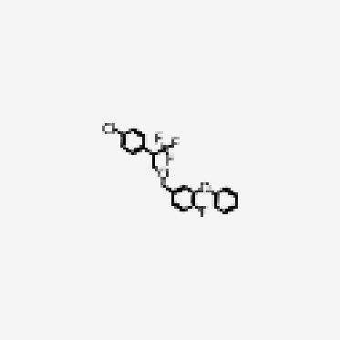 Fc1ccc(COCC(c2ccc(Cl)cc2)C(F)(F)F)cc1Oc1ccccc1